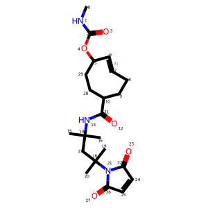 CNC(=O)OC1/C=C/CCC(C(=O)NC(C)(C)CC(C)(C)N2C(=O)C=CC2=O)CC1